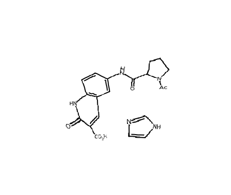 CC(=O)N1CCCC1C(=O)Nc1ccc2[nH]c(=O)c(C(=O)O)cc2c1.c1c[nH]cn1